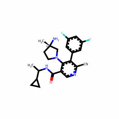 CC(NC(=O)c1cnc(C#N)c(-c2cc(F)cc(F)c2)c1N1CC[C@](C)(N)C1)C1CC1